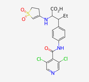 CCC(c1ccc(NC(=O)c2c(Cl)cncc2Cl)cc1)C(NC1=CS(=O)(=O)CC1)C(=O)O